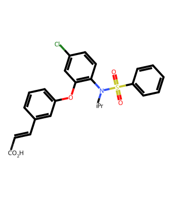 CC(C)N(c1ccc(Cl)cc1Oc1cccc(/C=C/C(=O)O)c1)S(=O)(=O)c1ccccc1